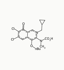 CCCCOc1c2cc(Cl)c(Cl)c(=O)c-2cn(CC2CC2)c1N(C)C(=O)O